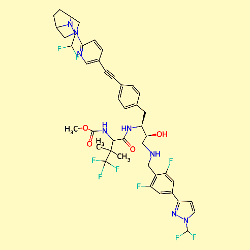 COC(=O)NC(C(=O)N[C@@H](Cc1ccc(C#Cc2ccc(N3CC4CCC(C3)N4CC(F)F)nc2)cc1)[C@@H](O)CNCc1c(F)cc(-c2ccn(C(F)F)n2)cc1F)C(C)(C)C(F)(F)F